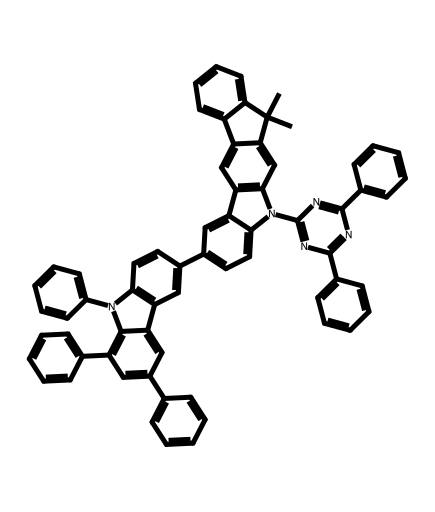 CC1(C)c2ccccc2-c2cc3c4cc(-c5ccc6c(c5)c5cc(-c7ccccc7)cc(-c7ccccc7)c5n6-c5ccccc5)ccc4n(-c4nc(-c5ccccc5)nc(-c5ccccc5)n4)c3cc21